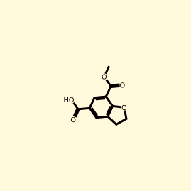 COC(=O)c1cc(C(=O)O)cc2c1OCC2